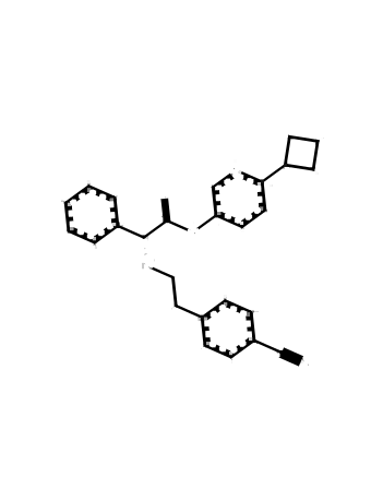 N#Cc1ccc(CCN[C@@H](C(=O)Nc2ccc(C3CCC3)nc2)c2ccccc2)cc1